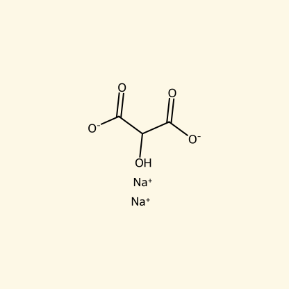 O=C([O-])C(O)C(=O)[O-].[Na+].[Na+]